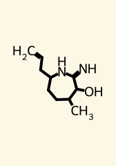 C=CCC1CCC(C)C(O)C(=N)N1